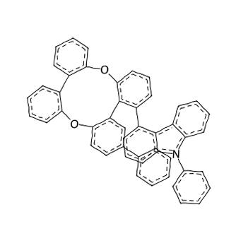 c1ccc(-c2ccc3c(c2)-c2c(cccc2-c2cccc4c2c2ccccc2n4-c2ccccc2)Oc2ccccc2-c2ccccc2O3)cc1